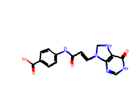 O=C(C=CN1CNc2c1nc[nH]c2=O)Nc1ccc(C(=O)O)cc1